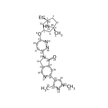 CC[C@]12CC[C@](C)(CC(Oc3ccc(N4Cc5cnc(-c6cn(C)nc6C)cc5C4=O)nn3)C1)N2